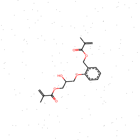 C=C(C)C(=O)OCc1ccccc1OCC(O)COC(=O)C(=C)C